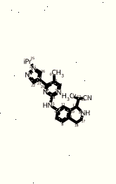 Cc1cnc(Nc2ccc3c(c2)C(C(C)C#N)NCC3)nc1-c1cnn(C(C)C)c1